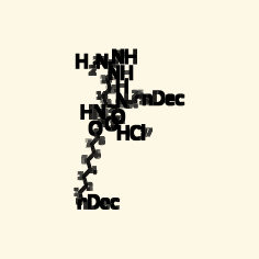 CCCCCCCCCCCCCCCCCCOC(=O)NC(CCCNC(=N)N)C(=O)NCCCCCCCCCCCC.Cl